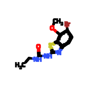 CCNC(=O)Nc1nc2ccc(Br)c(OC)c2s1